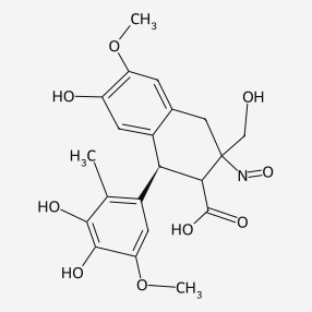 COc1cc2c(cc1O)[C@H](c1cc(OC)c(O)c(O)c1C)C(C(=O)O)C(CO)(N=O)C2